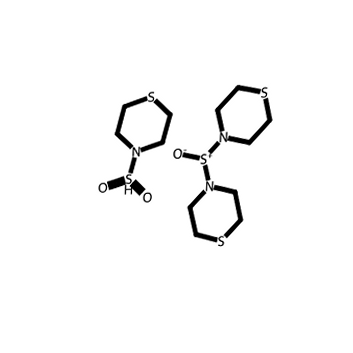 O=[SH](=O)N1CCSCC1.[O-][S+](N1CCSCC1)N1CCSCC1